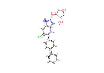 O[C@H]1COC[C@@H]1Oc1nc2nc(-c3ccc(-c4ccccc4)cc3)c(Cl)cc2[nH]1